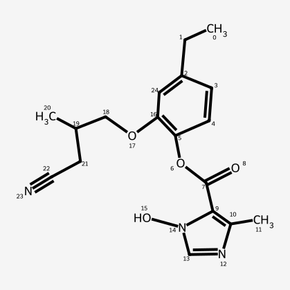 CCc1ccc(OC(=O)c2c(C)ncn2O)c(OCC(C)CC#N)c1